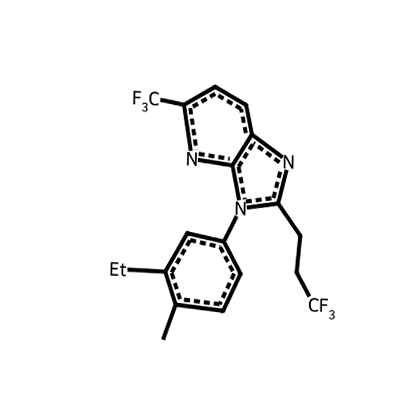 CCc1cc(-n2c(CCC(F)(F)F)nc3ccc(C(F)(F)F)nc32)ccc1C